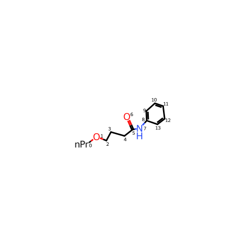 CCCOCCCC(=O)Nc1ccccc1